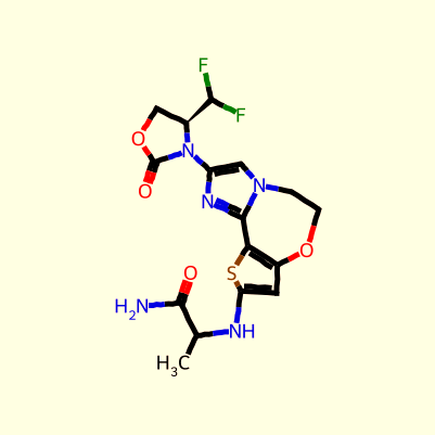 CC(Nc1cc2c(s1)-c1nc(N3C(=O)OC[C@H]3C(F)F)cn1CCO2)C(N)=O